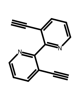 C#Cc1cccnc1-c1ncccc1C#C